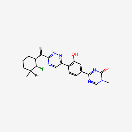 C=C(c1ncc(-c2ccc(-c3ncn(C)c(=O)n3)cc2O)nn1)[C@@H]1CCC[C@](C)(CC)[C@@H]1F